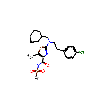 CCS(=O)(=O)NC(=O)c1nc(N(CCc2ccc(Cl)cc2)CC2CCCCC2)sc1C